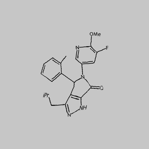 COc1ncc(N2C(=O)c3[nH]nc(CC(C)C)c3C2c2ccccc2C)cc1F